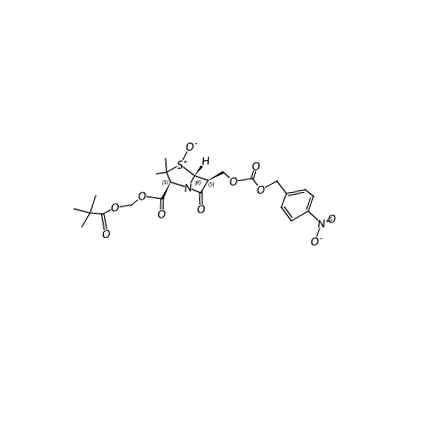 CC(C)(C)C(=O)OCOC(=O)[C@@H]1N2C(=O)[C@H](COC(=O)OCc3ccc([N+](=O)[O-])cc3)[C@H]2[S+]([O-])C1(C)C